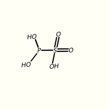 O=S(=O)(O)P(O)O